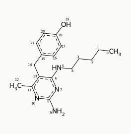 CCCCCNc1nc(N)nc(C)c1Cc1ccc(O)cc1